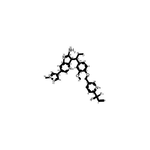 C=CC(F)(F)c1ccc(COc2ccc(C(CC)C3C(N)=Nc4cc(-c5cnn(C)c5)cnc43)cc2OC)cn1